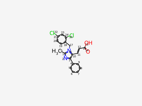 Cc1nc(-c2ccccc2)c(/C=C/C(=O)O)n1Cc1ccc(Cl)cc1Cl